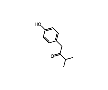 CC(C)C(=O)Cc1ccc(O)cc1